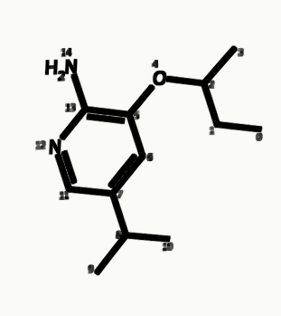 CCC(C)Oc1cc(C(C)C)cnc1N